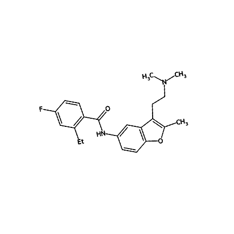 CCc1cc(F)ccc1C(=O)Nc1ccc2oc(C)c(CCN(C)C)c2c1